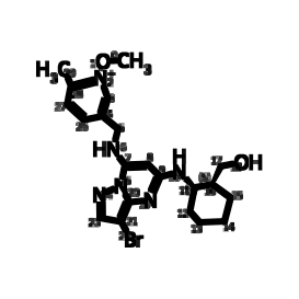 CO[n+]1cc(CNc2cc(N[C@@H]3CCCC[C@@H]3CO)nc3c(Br)cnn23)ccc1C